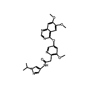 COc1cc2ncnc(Oc3cnc(CC(=O)Nc4cnn(C(C)C)c4)c(OC)c3)c2cc1OC